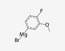 COc1c[c]([Mg][Br])ccc1F